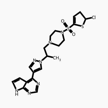 CC(CN1CCN(S(=O)(=O)C2=CCC(Cl)S2)CC1)n1cc(-c2ncnc3[nH]ccc23)cn1